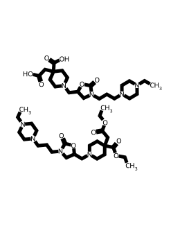 CCN1CCN(CCCN2CC(CN3CCC(CC(=O)O)(C(=O)O)CC3)OC2=O)CC1.CCOC(=O)CC1(C(=O)OCC)CCN(CC2CN(CCCN3CCN(CC)CC3)C(=O)O2)CC1